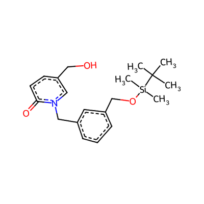 CC(C)(C)[Si](C)(C)OCc1cccc(Cn2cc(CO)ccc2=O)c1